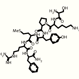 CSCCC(NC(=O)C(Cc1ccc(O)cc1)NC(=O)C1CCCN1C(=O)C(CCCCN)NC(=O)C(N)CO)C(=O)NC(CCCNC(=N)N)C(=O)NC(Cc1ccccc1)C(N)=O